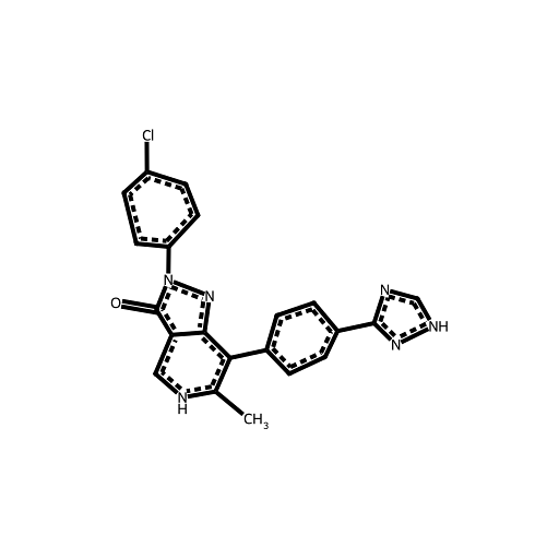 Cc1[nH]cc2c(=O)n(-c3ccc(Cl)cc3)nc-2c1-c1ccc(-c2nc[nH]n2)cc1